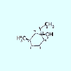 CC[C@]1(O)CCC[C@@H](C)C1